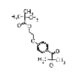 CC(C)(C)C(=O)OCCOc1ccc(C(=O)C(C)(C)O)cc1